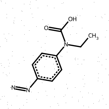 CCN(C(=O)O)c1ccc(N=[N])cc1